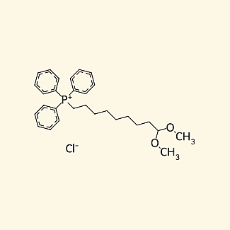 COC(CCCCCCCC[P+](c1ccccc1)(c1ccccc1)c1ccccc1)OC.[Cl-]